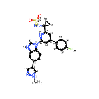 Cn1cc(-c2ccc3c(c2)ncn3-c2cc(-c3ccc(F)cc3)cc(C3(N[SH](=O)=O)CC3)n2)cn1